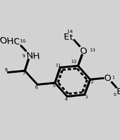 CCOc1ccc(CC(C)NC=O)cc1OCC